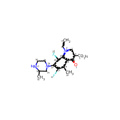 C=Cn1cc(C(=O)O)c(=O)c2c(C)c(F)c(N3CCNC(C)C3)c(F)c21